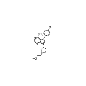 COCCN1CCC(n2cc(-c3ccc(OC)cc3)c3c(N)ncnc32)C1